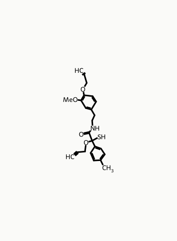 C#CCOc1ccc(CCNC(=O)C(S)(OCC#C)c2ccc(C)cc2)cc1OC